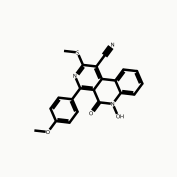 COc1ccc(-c2nc(SC)c(C#N)c3c2c(=O)n(O)c2ccccc32)cc1